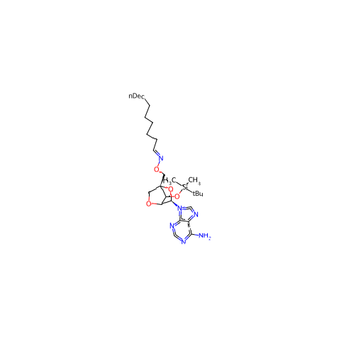 CCCCCCCCCCCCCCCC=NOC[C@]12COC(C1O[Si](C)(C)C(C)(C)C)[C@H](n1cnc3c(N)ncnc31)O2